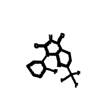 O=c1[nH]c(=O)n(-c2ccccc2F)c2nc(C(F)(F)F)ccc12